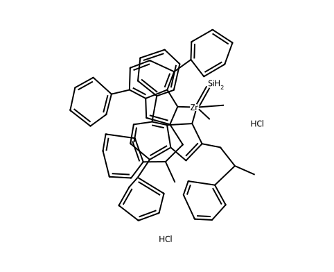 CC(CC1=Cc2c(-c3ccccc3)ccc(-c3ccccc3)c2[CH]1[Zr]([CH3])([CH3])(=[SiH2])[CH]1C(CC(C)c2ccccc2)=Cc2c(-c3ccccc3)ccc(-c3ccccc3)c21)c1ccccc1.Cl.Cl